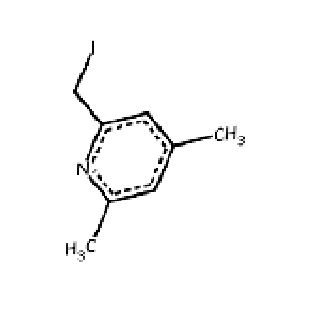 Cc1cc(C)nc(CI)c1